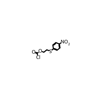 O=C(Cl)OCCSc1ccc([N+](=O)[O-])cc1